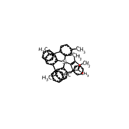 CC1=C(C)C(C)C([Si](c2cc(C)ccc2-c2ccccc2)(c2cc(C)ccc2-c2ccccc2)c2cc(C)ccc2-c2ccccc2)=C1C